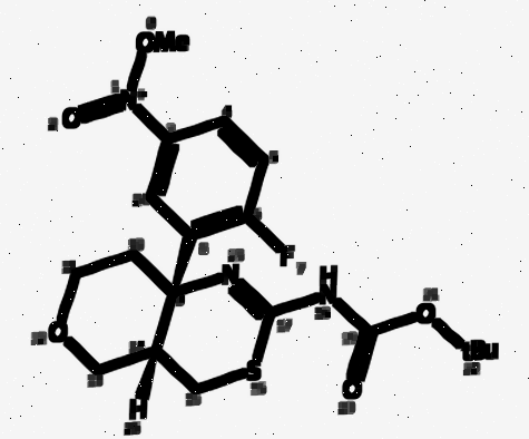 CO[N+](=O)c1ccc(F)c([C@]23CCOC[C@H]2CSC(NC(=O)OC(C)(C)C)=N3)c1